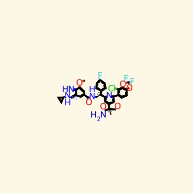 COC1=CC(C(=O)NC[C@@H](c2ccc(F)cc2)c2cc3c(c(-c4ccc5c(c4Cl)OC(F)(F)O5)n2)OC[C@]3(C)C(N)=O)=C/C(=C/NC2CC2)C1=N